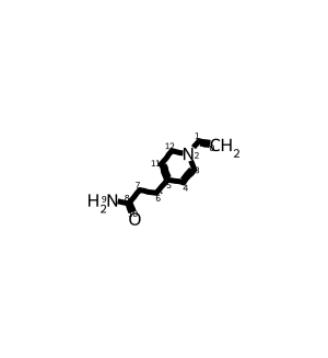 C=CN1C=CC([CH]CC(N)=O)=CC1